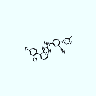 Cc1cn(-c2ccc(Nc3nc4c(-c5ccc(F)cc5Cl)cccn4n3)cc2C#N)cn1